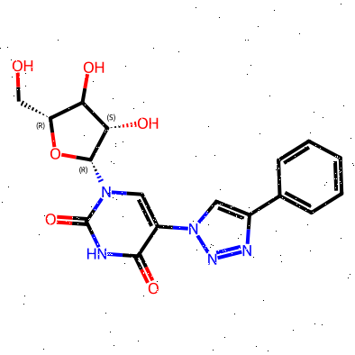 O=c1[nH]c(=O)n([C@@H]2O[C@H](CO)C(O)[C@@H]2O)cc1-n1cc(-c2ccccc2)nn1